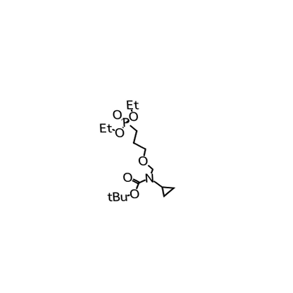 CCOP(=O)(CCCOCN(C(=O)OC(C)(C)C)C1CC1)OCC